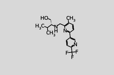 Cc1ccc(-c2ccc(C(F)(F)F)nc2)nc1CN[C@@H](CO)C(C)C